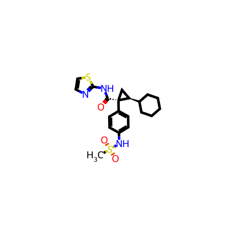 CS(=O)(=O)Nc1ccc([C@@]2(C(=O)Nc3nccs3)C[C@H]2C2CCCCC2)cc1